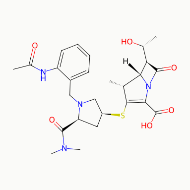 CC(=O)Nc1ccccc1CN1C[C@@H](SC2=C(C(=O)O)N3C(=O)[C@H]([C@@H](C)O)[C@H]3[C@H]2C)C[C@H]1C(=O)N(C)C